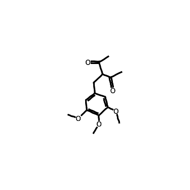 COc1cc(CC(C(C)=O)C(C)=O)cc(OC)c1OC